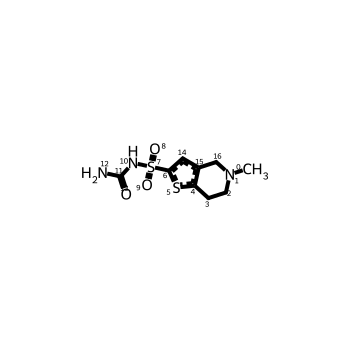 CN1CCc2sc(S(=O)(=O)NC(N)=O)cc2C1